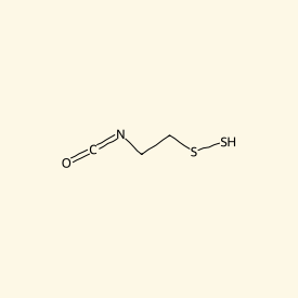 O=C=NCCSS